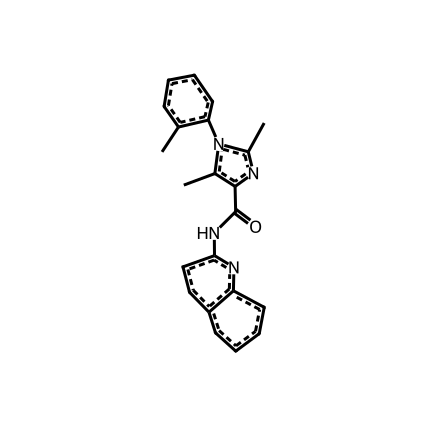 Cc1ccccc1-n1c(C)nc(C(=O)Nc2ccc3ccccc3n2)c1C